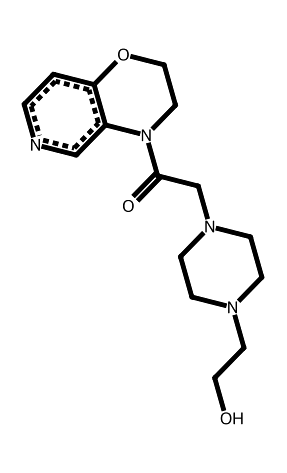 O=C(CN1CCN(CCO)CC1)N1CCOc2ccncc21